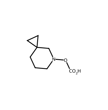 O=C(O)ON1CCCC2(CC2)C1